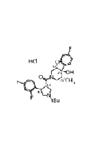 C[C@@H]1CN(C(=O)[C@@H]2CN(C(C)(C)C)C[C@H]2c2ccc(F)cc2F)C[C@H](C)[C@]1(O)c1ccc(F)cc1.Cl